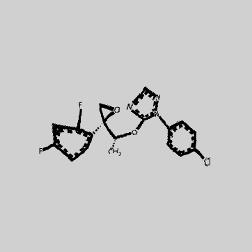 C[C@@H](Oc1ncnn1-c1ccc(Cl)cc1)[C@@]1(c2ccc(F)cc2F)CO1